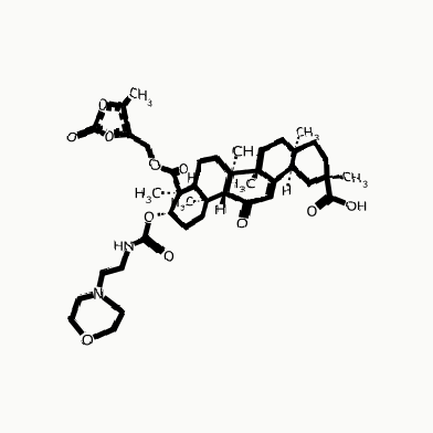 Cc1oc(=O)oc1COC(=O)[C@]1(C)[C@@H](OC(=O)NCCN2CCOCC2)CC[C@@]2(C)[C@H]1CC[C@]1(C)[C@@H]2C(=O)C=C2[C@@H]3C[C@@](C)(C(=O)O)CC[C@]3(C)CC[C@]21C